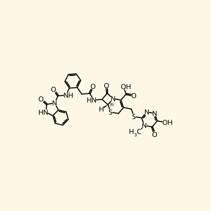 Cn1c(SCC2=C(C(=O)O)N3C(=O)C(NC(=O)Cc4ccccc4NC(=O)n4c(=O)[nH]c5ccccc54)[C@H]3SC2)nnc(O)c1=O